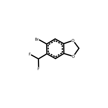 FC(F)c1cc2c(cc1Br)OCO2